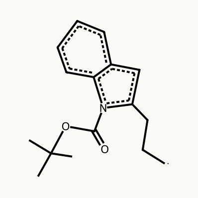 [CH2]CCc1cc2ccccc2n1C(=O)OC(C)(C)C